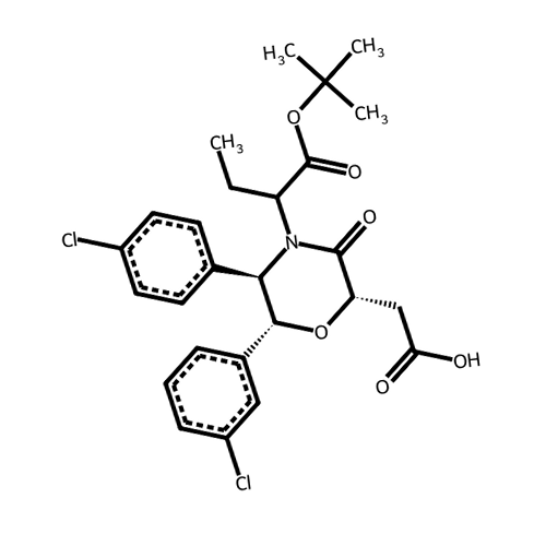 CCC(C(=O)OC(C)(C)C)N1C(=O)[C@H](CC(=O)O)O[C@H](c2cccc(Cl)c2)[C@H]1c1ccc(Cl)cc1